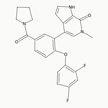 Cn1cc(-c2cc(C(=O)N3CCCC3)ccc2Oc2ccc(F)cc2F)c2cc[nH]c2c1=O